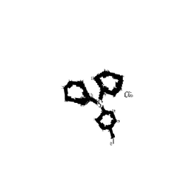 Ic1ccc([S+](c2ccccc2)c2ccccc2)cc1.[Cl-]